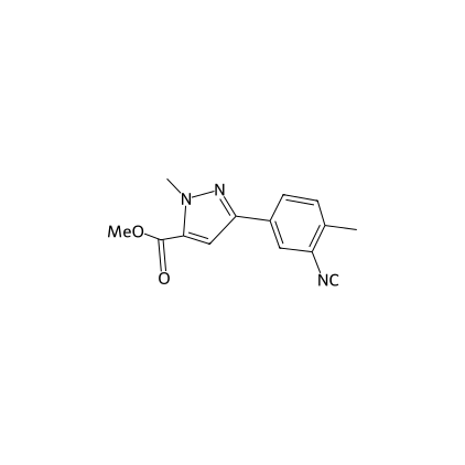 [C-]#[N+]c1cc(-c2cc(C(=O)OC)n(C)n2)ccc1C